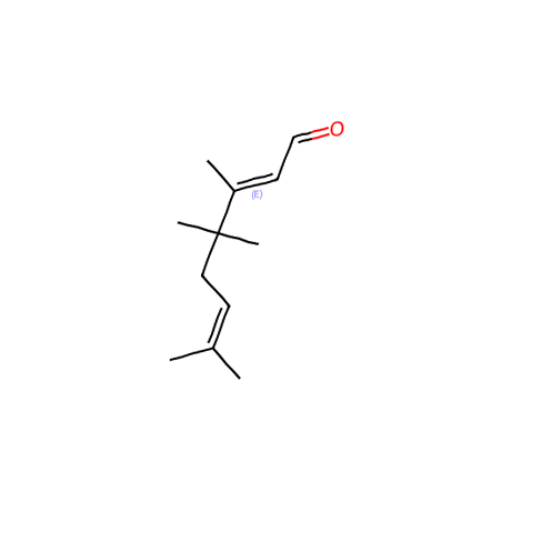 CC(C)=CCC(C)(C)/C(C)=C/C=O